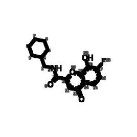 O=C(NCC1CCCCC1)c1cc(=O)c2ccc(F)c(O)c2o1